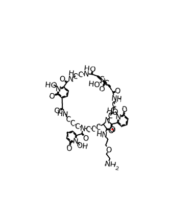 NCCOCCNC(=O)C1CCCN(C(=O)c2cccc(=O)n2O)CCCNC(=O)c2ccc(n(O)c2=O)C(=O)NCCNC(=O)c2ccc(c(=O)n2O)C(=O)NCCCN1C(=O)c1cccc(=O)n1O